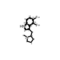 CN1CCCC1Cc1c[nH]c2ccc(F)c(F)c12